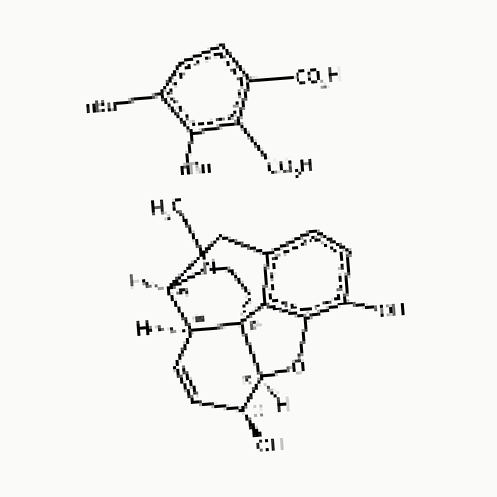 CCCCc1ccc(C(=O)O)c(C(=O)O)c1CCCC.CN1CC[C@]23c4c5ccc(O)c4O[C@H]2[C@@H](O)C=C[C@H]3[C@H]1C5